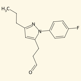 CCCc1cc(CCC=O)n(-c2ccc(F)cc2)n1